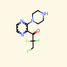 O=C(c1nccnc1N1CCNCC1)C(F)(F)CF